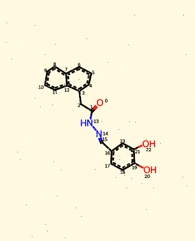 O=C(Cc1cccc2ccccc12)N/N=C/c1ccc(O)c(O)c1